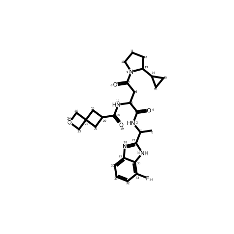 CC(NC(=O)C(CC(=O)N1CCCC1C1CC1)NC(=O)C1CC2(COC2)C1)c1nc2cccc(F)c2[nH]1